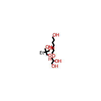 CCC(CO)(CO)CO.OCCCCCCCOCC(O)CO